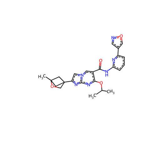 CC(C)Oc1nc2nc(C34COC(C)(C3)C4)cn2cc1C(=O)Nc1cccc(-c2cnoc2)n1